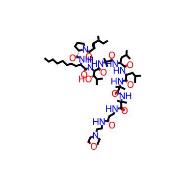 CCCCCCCCC(NC(=O)[C@@H]1CCCN1C(=O)/C=C/C(C)CC)C(=O)NC(C(=O)NC(C)(C)C(=O)NC(CC(C)C)C(=O)NC(CC(C)C)C(=O)NC(C)(C)C(=O)NC(C)(C)C(=O)NCCC(=O)NCCN1CCOCC1)C(O)C(C)C